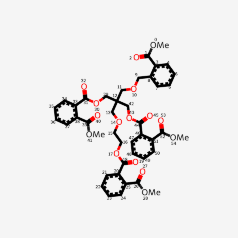 COC(=O)c1ccccc1COCC(COCCOC(=O)c1ccccc1C(=O)OC)(COC(=O)c1ccccc1C(=O)OC)COC(=O)c1ccccc1C(=O)OC